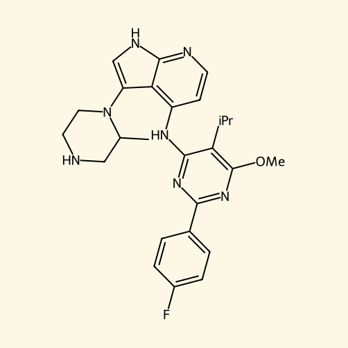 COc1nc(-c2ccc(F)cc2)nc(Nc2ccnc3[nH]cc(N4CCNCC4C)c23)c1C(C)C